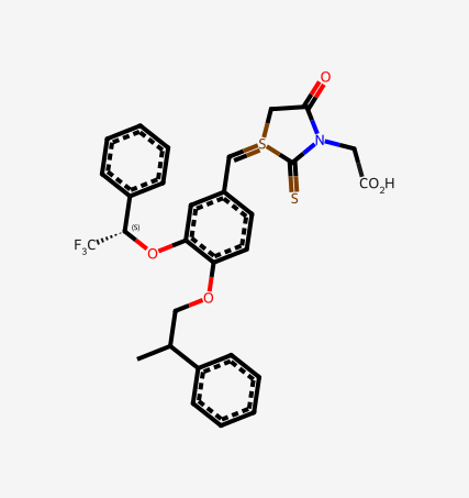 CC(COc1ccc(C=S2CC(=O)N(CC(=O)O)C2=S)cc1O[C@@H](c1ccccc1)C(F)(F)F)c1ccccc1